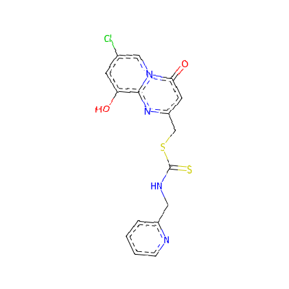 O=c1cc(CSC(=S)NCc2ccccn2)nc2c(O)cc(Cl)cn12